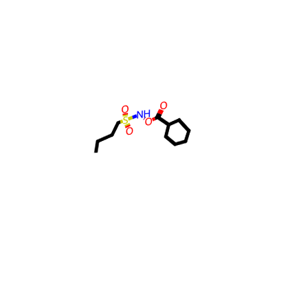 CCCCS(=O)(=O)NOC(=O)C1CCCCC1